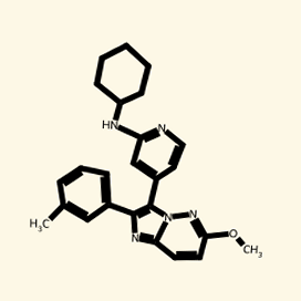 COc1ccc2nc(-c3cccc(C)c3)c(-c3ccnc(NC4CCCCC4)c3)n2n1